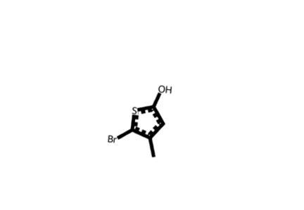 Cc1cc(O)sc1Br